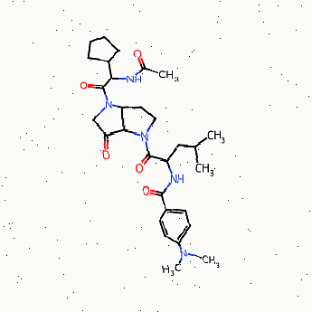 CC(=O)NC(C(=O)N1CC(=O)C2C1CCN2C(=O)C(CC(C)C)NC(=O)c1ccc(N(C)C)cc1)C1CCCC1